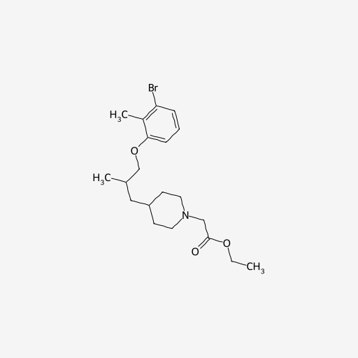 CCOC(=O)CN1CCC(CC(C)COc2cccc(Br)c2C)CC1